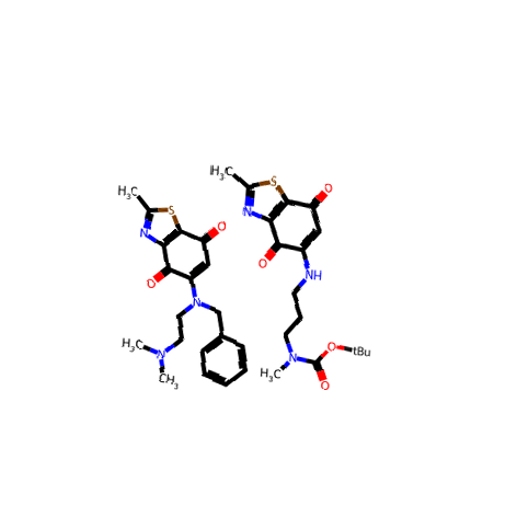 Cc1nc2c(s1)C(=O)C=C(N(CCN(C)C)Cc1ccccc1)C2=O.Cc1nc2c(s1)C(=O)C=C(NCCCN(C)C(=O)OC(C)(C)C)C2=O